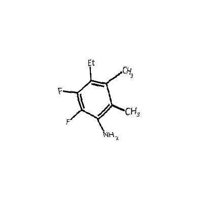 CCc1c(C)c(C)c(N)c(F)c1F